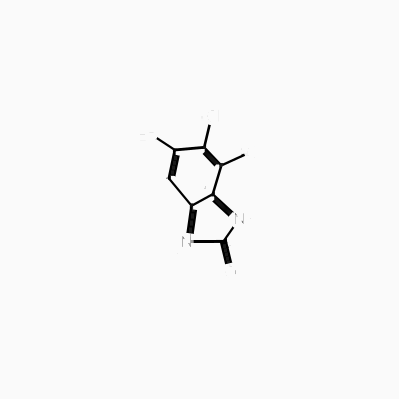 CCc1cc2c(c(Cl)c1Cl)=NC(=O)N=2